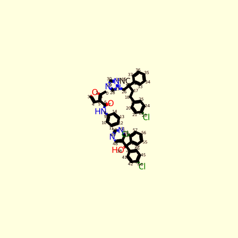 Cc1occc1C(=O)Nc1ccccc1.N#CC(CCc1ccc(Cl)cc1)(Cn1cncn1)c1ccccc1.OC(c1ccc(Cl)cc1)(c1cncnc1)c1ccccc1Cl